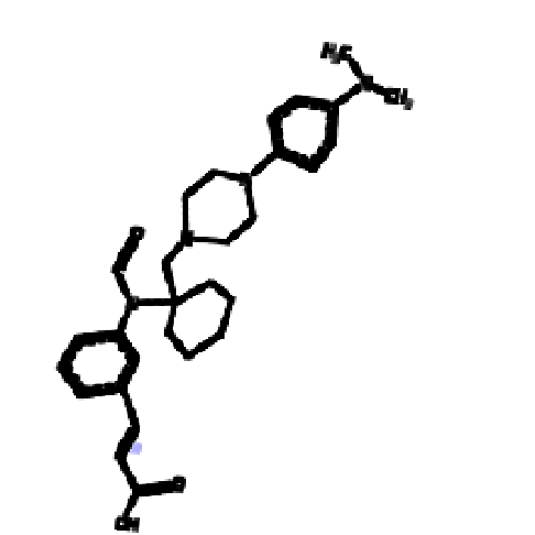 CN(C)c1ccc(N2CCN(CC3(N(C=O)c4cccc(/C=C/C(=O)O)c4)CCCCC3)CC2)cc1